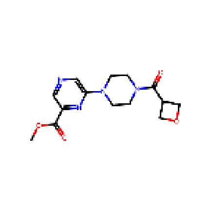 COC(=O)c1cncc(N2CCN(C(=O)C3COC3)CC2)n1